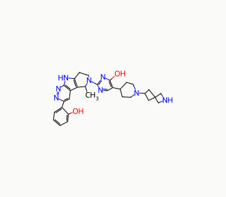 CC1c2c([nH]c3nnc(-c4ccccc4O)cc23)CCN1c1ncc(C2CCN(C3CC4(CNC4)C3)CC2)c(O)n1